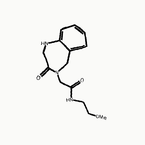 COCCNC(=O)CN1Cc2ccccc2NCC1=O